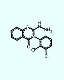 NNc1nc2ccccc2c(=O)n1-c1cccc(Cl)c1Cl